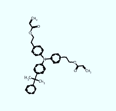 C=CC(=O)OCCc1ccc(N(c2ccc(CCOC(=O)C=C)cc2)c2ccc(C(C)(C)c3ccccc3)cc2)cc1